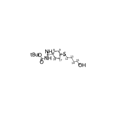 CC(C)(C)OC(=O)NC(=N)c1ccc(SCCCCO)cc1